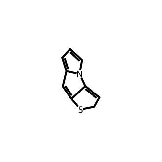 C1=c2c(cc3cccn23)SC1